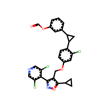 O=COc1cccc(C2CC2c2ccc(OCc3c(-c4c(Cl)cncc4Cl)noc3C3CC3)cc2Cl)c1